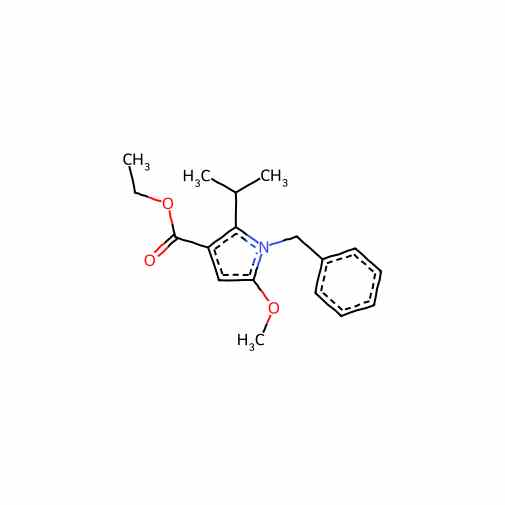 CCOC(=O)c1cc(OC)n(Cc2ccccc2)c1C(C)C